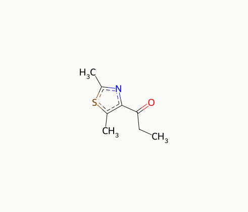 CCC(=O)c1nc(C)sc1C